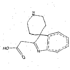 O=C(O)CC1=Nc2ccccc2C12CCNCC2